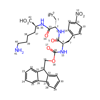 CC(C)C[C@H](NC(=O)[C@@H](Cc1ccc([N+](=O)[O-])cc1)NC(=O)OCC1c2ccccc2-c2ccccc21)C(=O)N[C@@H](CCCCN)C(=O)O